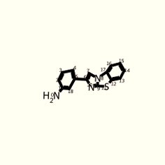 Nc1cccc(-c2cn3c(n2)sc2ccccc23)c1